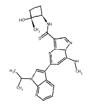 CNc1cc(-c2cn(C(C)C)c3ncccc23)nc2c(C(=O)N[C@@H]3CC[C@@]3(C)O)cnn12